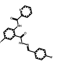 O=C(Nc1ccc(Br)cc1C(=O)NN=Cc1ccc(F)cc1)c1ccccn1